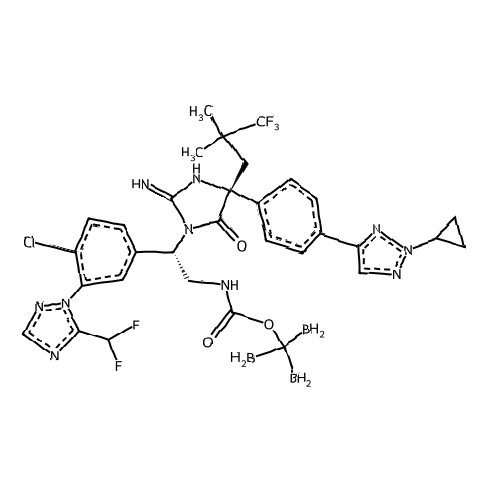 BC(B)(B)OC(=O)NC[C@H](c1ccc(Cl)c(-n2ncnc2C(F)F)c1)N1C(=N)N[C@](CC(C)(C)C(F)(F)F)(c2ccc(-c3cnn(C4CC4)n3)cc2)C1=O